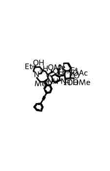 CC[C@]1(O)C[C@H]2CN(CCc3c([nH]c4ccc(C#Cc5ccccc5)cc34)[C@@](C(=O)OC)(C3C=C4C(=CC3OC)N(C)[C@H]3[C@@](O)(C(=O)OC)[C@H](OC(C)=O)[C@]5(CC)C=CCN6CC[C@]43[C@@H]65)C2)C1